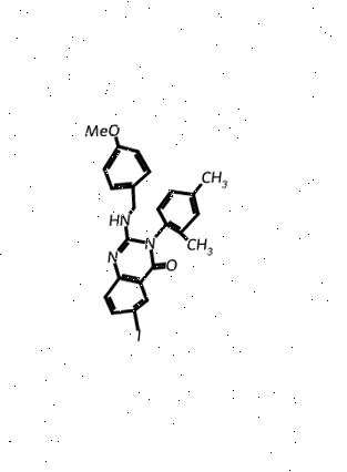 COc1ccc(CNc2nc3ccc(I)cc3c(=O)n2-c2ccc(C)cc2C)cc1